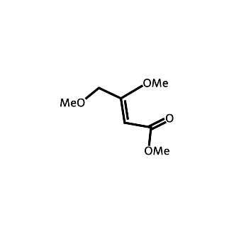 COCC(=CC(=O)OC)OC